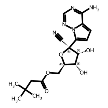 CC(C)(C)CC(=O)OC[C@H]1O[C@@](C#N)(c2ccc3c(N)ncnn23)[C@H](O)[C@@H]1O